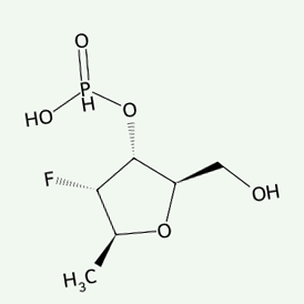 C[C@@H]1O[C@H](CO)[C@@H](O[PH](=O)O)[C@H]1F